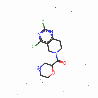 O=C(C1CNCCO1)N1CCc2nc(Cl)nc(Cl)c2C1